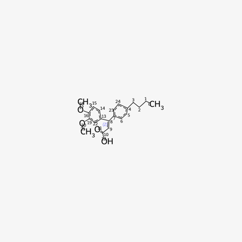 CCCCc1ccc(/C(=C/C(=O)O)c2ccc(OC)c(OC)c2)cc1